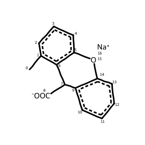 Cc1cccc2c1C(C(=O)[O-])c1ccccc1O2.[Na+]